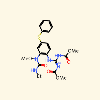 CCNC(=O)N(OC)c1cc(Sc2ccccc2)ccc1N/C(=N\C(=O)OC)NC(=O)OC